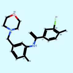 C=C(Nc1cc(CN2CCOCC2)ccc1C)c1ccc(C)c(F)c1